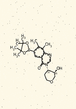 Cc1c(B2OC(C)(C)C(C)(C)O2)cc2c(=O)n([C@H]3CCOC[C@@H]3O)cnc2c1C